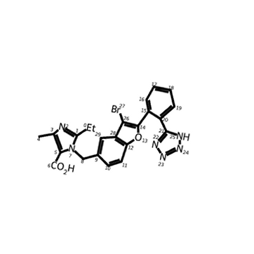 CCc1nc(C)c(C(=O)O)n1Cc1ccc2oc(-c3ccccc3-c3nnn[nH]3)c(Br)c2c1